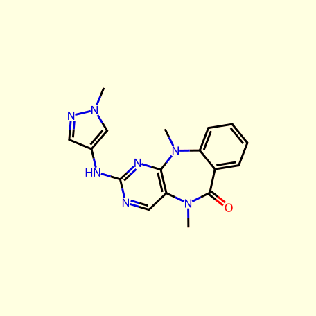 CN1C(=O)c2ccccc2N(C)c2nc(Nc3cnn(C)c3)ncc21